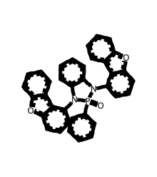 O=P1(c2ccccc2)N(c2cccc3oc4ccccc4c23)c2ccccc2N1c1cccc2oc3ccccc3c12